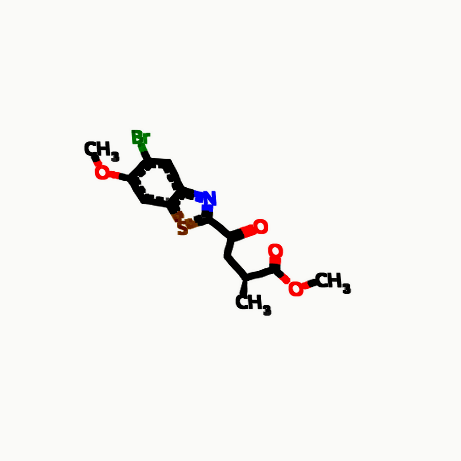 COC(=O)[C@@H](C)CC(=O)c1nc2cc(Br)c(OC)cc2s1